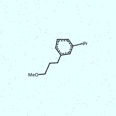 COCCCc1cccc(C(C)C)c1